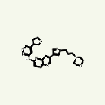 c1nc2ccc(Nc3cc(C4CCOC4)cnn3)nc2cc1-c1cnn(CCCN2CCOCC2)c1